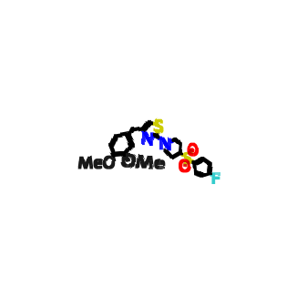 COc1ccc(Cc2csc(N3CCC(S(=O)(=O)c4ccc(F)cc4)CC3)n2)cc1OC